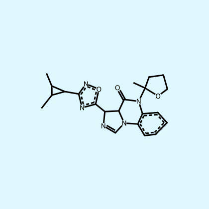 CC1C(C)C1c1noc(C2N=CN3c4ccccc4N(C4(C)CCCO4)C(=O)C23)n1